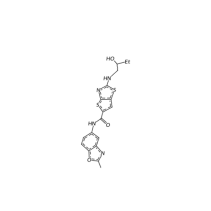 CCC(O)CNc1nc2sc(C(=O)Nc3ccc4oc(C)nc4c3)cc2s1